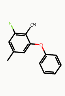 Cc1cc(F)c(C#N)c(Oc2ccccc2)c1